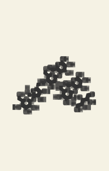 O=C[C@@H](O)[C@H](O)[C@H](O)CO.OC[C@H]1O[C@@H](O[C@H]2[C@H](O)[C@@H](O)[C@H](O)O[C@@H]2CO)[C@H](O)[C@@H](O)[C@@H]1O.OC[C@H]1O[C@@H](O[C@H]2[C@H](O)[C@@H](O)[C@H](O)O[C@@H]2CO)[C@H](O)[C@@H](O)[C@H]1O.OC[C@H]1O[C@@](CO)(O[C@H]2O[C@H](CO)[C@@H](O)[C@H](O)[C@H]2O)[C@@H](O)[C@@H]1O